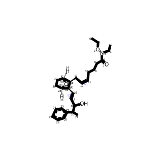 CCON(CC)C(=O)CCC/C=C\C[C@H]1[C@@H](/C=C/C(O)C(C)c2ccccc2)[C@H]2CC[C@@H]1O2